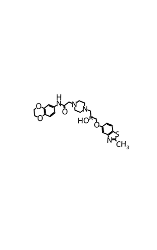 Cc1nc2cc(OC[C@H](O)CN3CCN(CC(=O)Nc4ccc5c(c4)OCCO5)CC3)ccc2s1